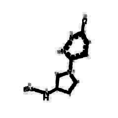 CC(C)(C)NC1CCN(c2ccc(Cl)nn2)C1